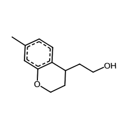 Cc1ccc2c(c1)OCCC2CCO